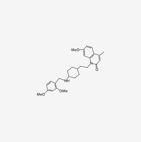 COc1ccc(CNC2CCC(CCn3c(=O)cc(C)c4ccc(OC)cc43)CC2)c(OC)c1